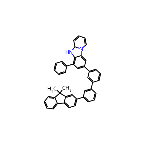 CC1(C)c2ccccc2-c2ccc(-c3cccc(-c4cccc(-c5cc(-c6ccccc6)c6c(c5)N5C=CC=CC5N6)c4)c3)cc21